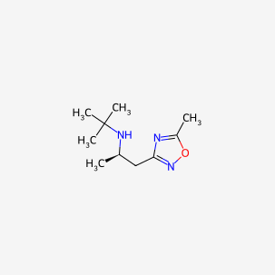 Cc1nc(C[C@@H](C)NC(C)(C)C)no1